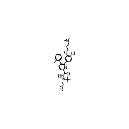 COCC[C@H](NC(=O)c1ccc(-c2ccccc2C)c(-c2ccc(Cl)c(OCCCN(C)C)c2)n1)C(C)(C)C